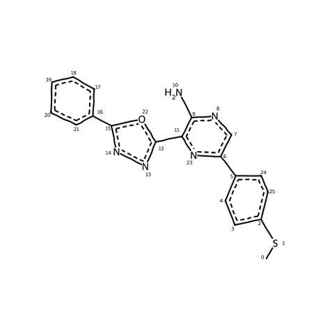 CSc1ccc(-c2cnc(N)c(-c3nnc(-c4ccccc4)o3)n2)cc1